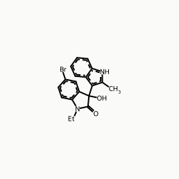 CCN1C(=O)C(O)(c2c(C)[nH]c3ccccc23)c2cc(Br)ccc21